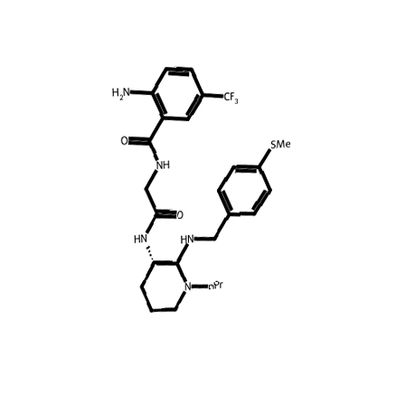 CCCN1CCC[C@H](NC(=O)CNC(=O)c2cc(C(F)(F)F)ccc2N)C1NCc1ccc(SC)cc1